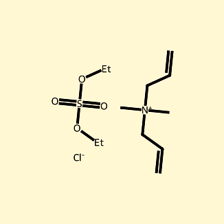 C=CC[N+](C)(C)CC=C.CCOS(=O)(=O)OCC.[Cl-]